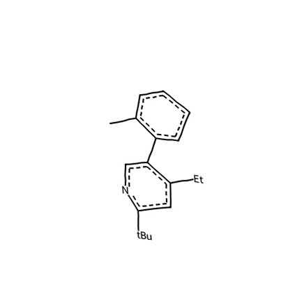 CCc1cc(C(C)(C)C)ncc1-c1ccccc1C